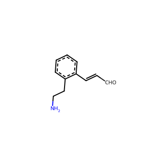 NCCc1ccccc1C=CC=O